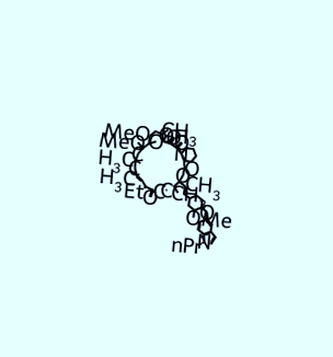 CCCn1ccc2cc(OC3CCC(C=C(C)C4OC(=O)C5CCCCN5C(=O)C(=O)C5(O)OC(C(OC)CC(C)C/C(C)=C/C(CC)C(=O)CCC4C)C(OC)CC5C)CC3OC)ccc21